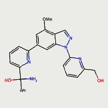 CCCC(N)(O)c1cccc(-c2cc(OC)c3cnn(-c4cccc(CO)n4)c3c2)n1